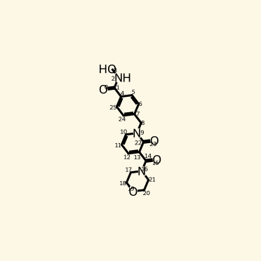 O=C(NO)c1ccc(Cn2cccc(C(=O)N3CCOCC3)c2=O)cc1